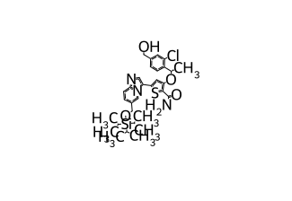 CC(C)[Si](OCc1ccc2ncc(-c3cc(O[C@H](C)c4ccc(CO)cc4Cl)c(C(N)=O)s3)n2c1)(C(C)C)C(C)C